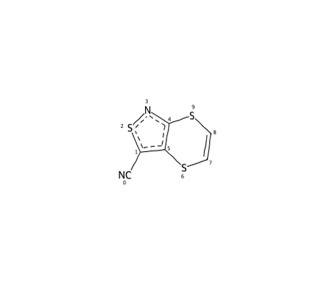 N#Cc1snc2c1SC=CS2